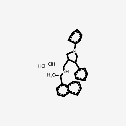 C[C@@H](NCC1CN(c2ccccc2)CC1c1ccccc1)c1cccc2ccccc12.Cl.Cl